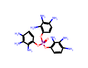 Nc1ccc(OP(=O)(Oc2ccc(N)c(N)c2N)Oc2ccc(N)c(N)c2N)c(N)c1N